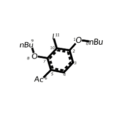 CCCCOc1ccc(C(C)=O)c(OCCCC)c1I